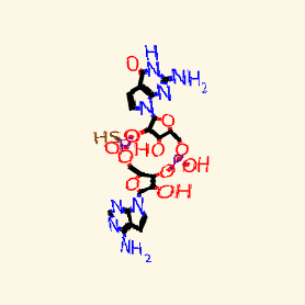 Nc1nc2c(ccn2C2OC3COP(O)OC4C(COP(=O)(S)OC2C3O)OC(n2ccc3c(N)ncnc32)C4O)c(=O)[nH]1